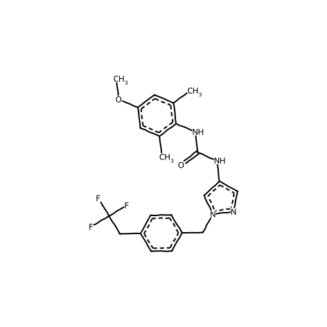 COc1cc(C)c(NC(=O)Nc2cnn(Cc3ccc(CC(F)(F)F)cc3)c2)c(C)c1